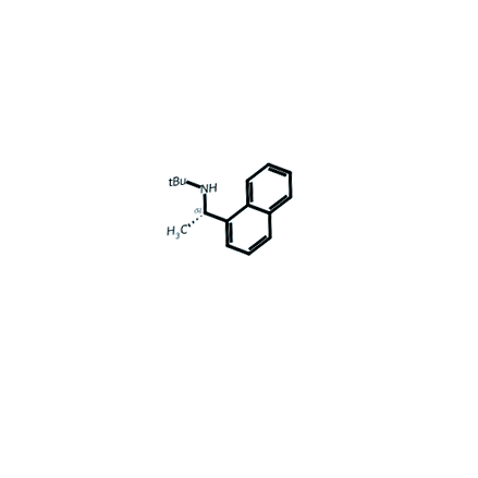 C[C@H](NC(C)(C)C)c1cccc2ccccc12